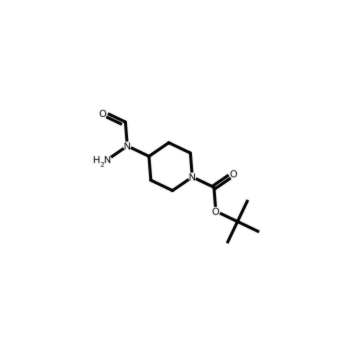 CC(C)(C)OC(=O)N1CCC(N(N)C=O)CC1